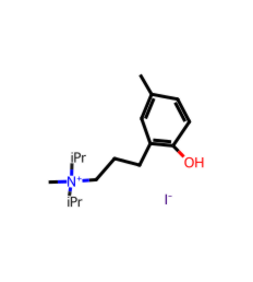 Cc1ccc(O)c(CCC[N+](C)(C(C)C)C(C)C)c1.[I-]